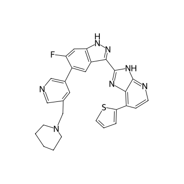 Fc1cc2[nH]nc(-c3nc4c(-c5cccs5)ccnc4[nH]3)c2cc1-c1cncc(CN2CCCCC2)c1